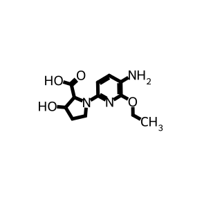 CCOc1nc(N2CCC(O)C2C(=O)O)ccc1N